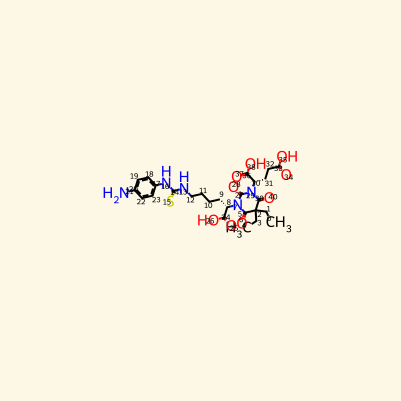 CCC1(CC)C(=O)N([C@@H](CCCCNC(=S)Nc2ccc(N)cc2)C(=O)O)C(=O)N([C@@H](CCC(=O)O)C(=O)O)C1=O